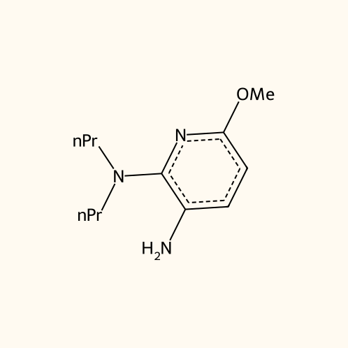 CCCN(CCC)c1nc(OC)ccc1N